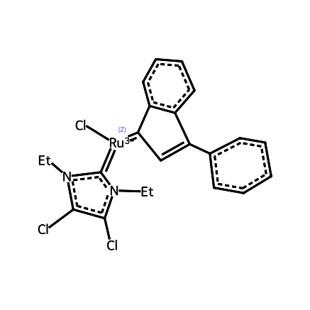 CCn1c(Cl)c(Cl)n(CC)[c]1=[Ru-3](/[Cl])=[C]1\C=C(c2ccccc2)c2ccccc21